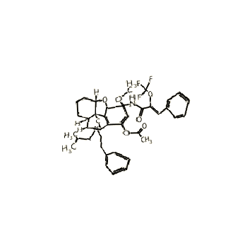 COC1(NC(=O)C(=Cc2ccccc2)OC(F)(F)F)C=C(OC(C)=O)C2=C3C1O[C@H]1CCC[C@H]4[C@@H](C2)[N+](CCc2ccccc2)(CC(C)C)CC[C@]314